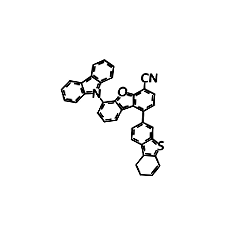 N#Cc1ccc(-c2ccc3c4c(sc3c2)C=CCC4)c2c1oc1c(-n3c4ccccc4c4ccccc43)cccc12